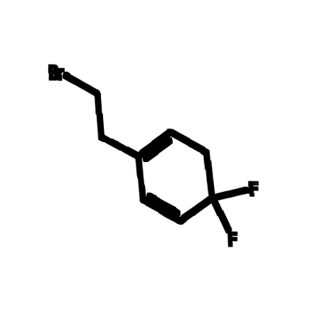 FC1(F)C=CC(CCBr)=CC1